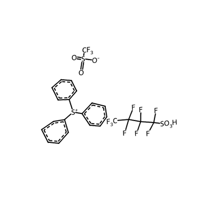 O=S(=O)(O)C(F)(F)C(F)(F)C(F)(F)C(F)(F)F.O=S(=O)([O-])C(F)(F)F.c1ccc([S+](c2ccccc2)c2ccccc2)cc1